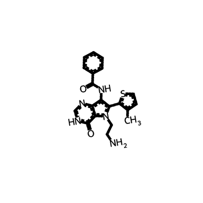 Cc1ccsc1-c1c(NC(=O)c2ccccc2)c2nc[nH]c(=O)c2n1CCN